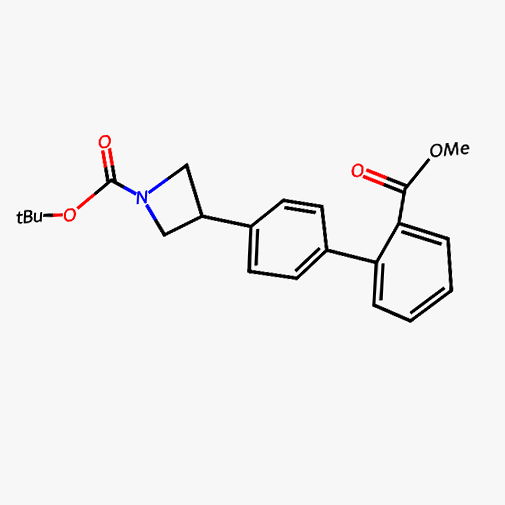 COC(=O)c1ccccc1-c1ccc(C2CN(C(=O)OC(C)(C)C)C2)cc1